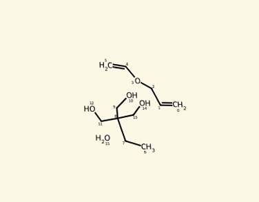 C=CCOC=C.CCC(CO)(CO)CO.O